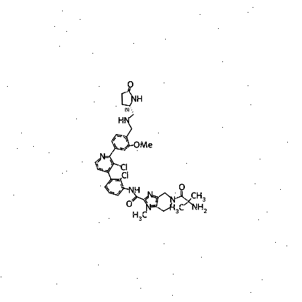 COc1cc(-c2nccc(-c3cccc(NC(=O)c4nc5c(n4C)CCN(C(=O)C(C)(C)N)C5)c3Cl)c2Cl)ccc1CNC[C@@H]1CCC(=O)N1